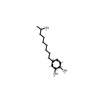 CC(O)CCCCCCCc1ccc(O)c(O)c1